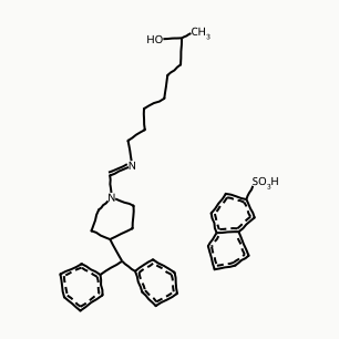 CC(O)CCCCCCN=CN1CCC(C(c2ccccc2)c2ccccc2)CC1.O=S(=O)(O)c1ccc2ccccc2c1